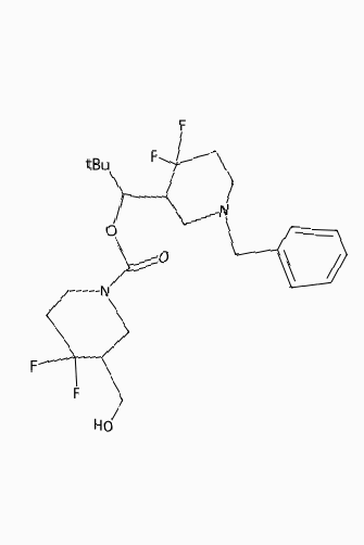 CC(C)(C)C(OC(=O)N1CCC(F)(F)C(CO)C1)C1CN(Cc2ccccc2)CCC1(F)F